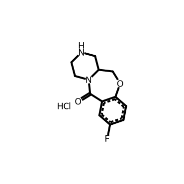 Cl.O=C1c2cc(F)ccc2OCC2CNCCN12